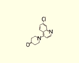 O=C1CCN(c2ccnc3cc(Cl)ccc23)CC1